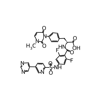 Cn1ccc(=O)n(-c2ccc(C[C@H](NC(=O)c3c(F)cc(NS(=O)(=O)c4ccc(-c5cncnc5)cn4)cc3F)C(=O)O)cc2)c1=O